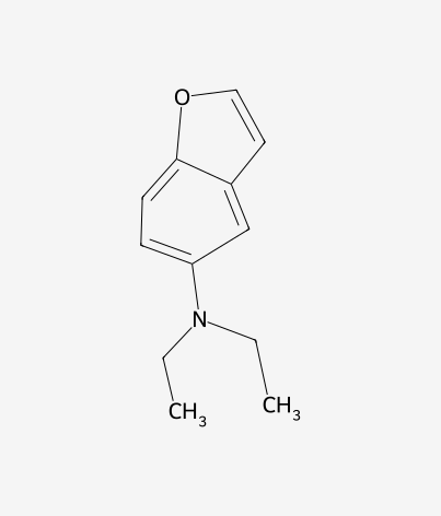 CCN(CC)c1ccc2occc2c1